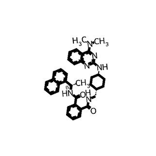 C[C@H](NC(=O)c1ccccc1C(=O)NC[C@H]1CC[C@@H](Nc2nc(N(C)C)c3ccccc3n2)CC1)c1cccc2ccccc12